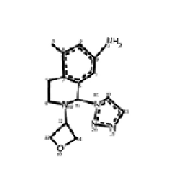 Cc1cc(N)cc2c1CCN(C1COC1)C2n1ccnn1